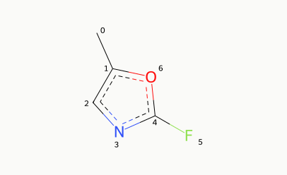 Cc1cnc(F)o1